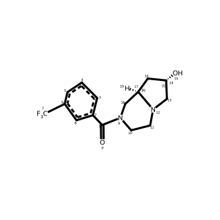 O=C(c1cccc(C(F)(F)F)c1)N1CCN2C[C@@H](O)C[C@@H]2C1